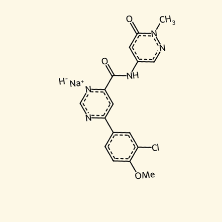 COc1ccc(-c2cc(C(=O)Nc3cnn(C)c(=O)c3)ncn2)cc1Cl.[H-].[Na+]